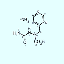 N.NC(=O)N[C@@H](Cc1ccccc1)C(=O)O